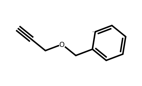 C#CCOCc1[c]cccc1